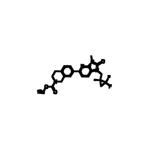 Cn1c(=O)n(C[C@@]2(C)CC2(F)F)c2ccc(-c3ccc4c(c3)CN(C(=O)OC(C)(C)C)CC4)nc21